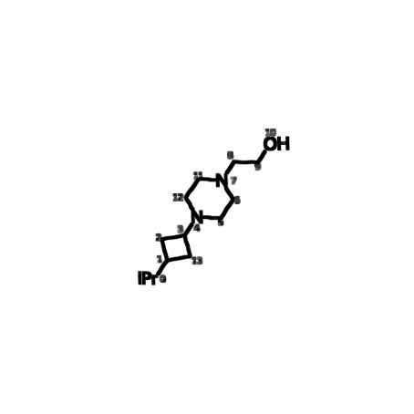 CC(C)C1CC(N2CCN(CCO)CC2)C1